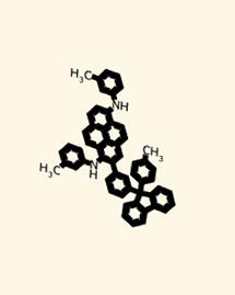 Cc1ccc(C2(c3cccc(-c4cc5ccc6c(Nc7cccc(C)c7)ccc7ccc(c4Nc4cccc(C)c4)c5c76)c3)c3ccccc3-c3ccccc32)cc1